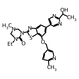 CCN1CN(C)CN(c2nc3cc(-c4cnc(C(C)O)nc4)cc(OCc4ccc(C)nc4)c3s2)C1=O